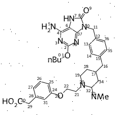 CCCCOc1nc(N)c2[nH]c(=O)n(Cc3ccc(CC4CCN(CCOc5cccc(CC(=O)O)c5)C(NC)C4)cc3)c2n1